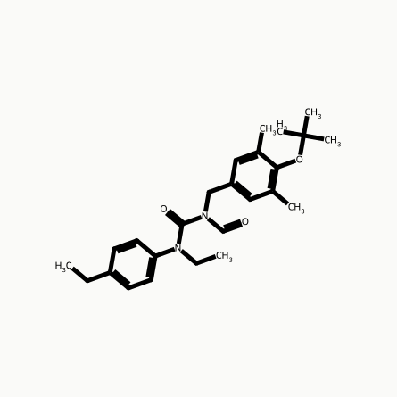 CCc1ccc(N(CC)C(=O)N(C=O)Cc2cc(C)c(OC(C)(C)C)c(C)c2)cc1